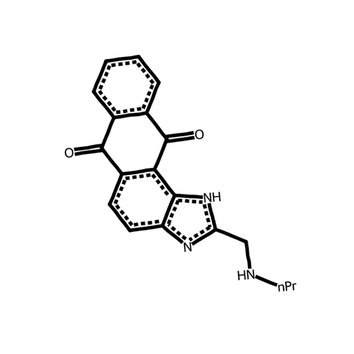 CCCNCc1nc2ccc3c(c2[nH]1)C(=O)c1ccccc1C3=O